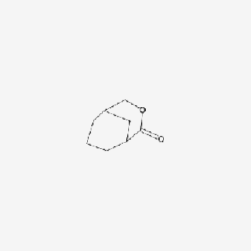 O=C1OCC2CCCC1C2